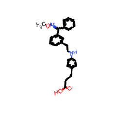 CO/N=C(/c1ccccc1)c1cccc(CCNc2ccc(CCC(=O)O)cc2)c1